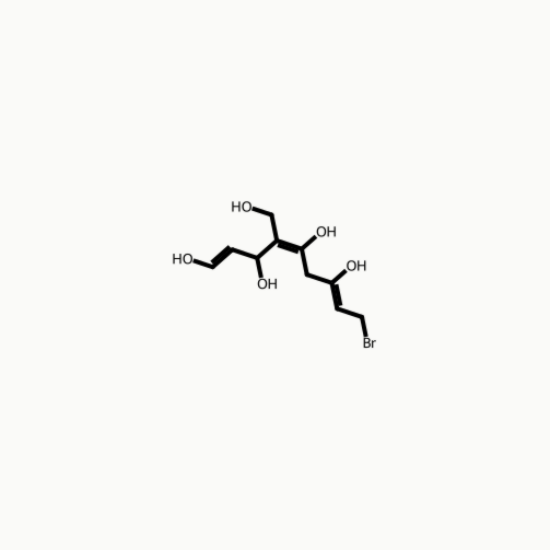 OC=CC(O)/C(CO)=C(/O)CC(O)=CCBr